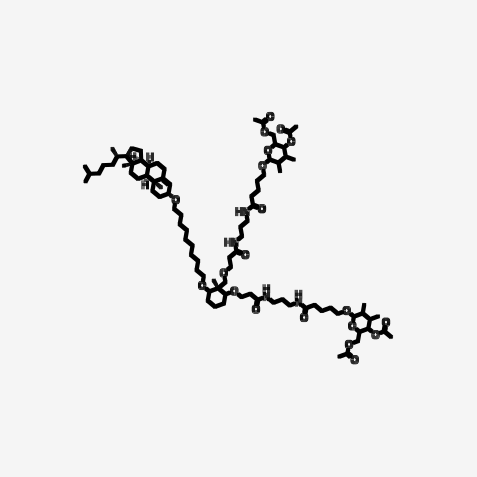 CC(=O)OCC1OC(OCCCCC(=O)NCCCNC(=O)CCOC[C@@]2(C)C(OCCCCCCCCCCO[C@@H]3C=C4CC[C@H]5[C@@H]6CC[C@H]([C@H](C)CCCC(C)C)[C@@]6(C)CC[C@@H]5[C@@]4(C)CC3)CCCC2OCCC(=O)NCCCNC(=O)CCCCOC2OC(COC(C)=O)C(OC(C)=O)C(C)C2C)C(C)C(C)C1OC(C)=O